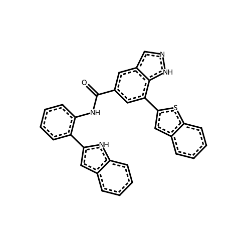 O=C(Nc1ccccc1-c1cc2ccccc2[nH]1)c1cc(-c2cc3ccccc3s2)c2[nH]ncc2c1